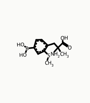 CSc1cc(B(O)O)ccc1CC(C)(N)C(=O)O